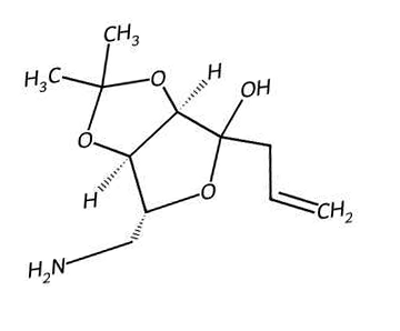 C=CCC1(O)O[C@H](CN)[C@H]2OC(C)(C)O[C@H]21